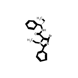 CC[C@H](NC(=O)c1c(Br)nc(-c2ccccc2)n1CC)c1ccccc1